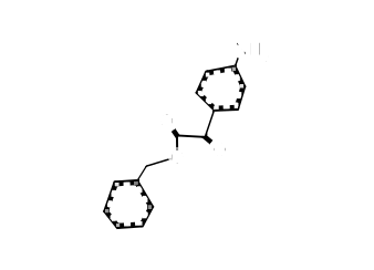 Nc1ccc(C(=O)C(=O)OCc2ccccc2)cc1